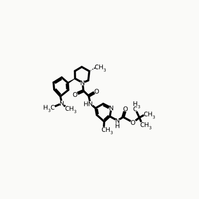 Cc1cc(NC(=O)C(=O)N2C[C@@H](C)CC[C@@H]2c2cccc(N(C)C)c2)cnc1NC(=O)OC(C)(C)C